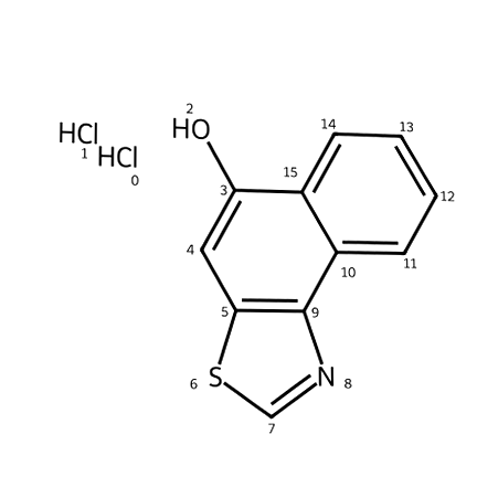 Cl.Cl.Oc1cc2scnc2c2ccccc12